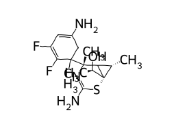 C[C@@H](O)[C@@]12SC(N)=N[C@](C)(C3(C)CC(N)=CC(F)=C3F)C1[C@@H]2C